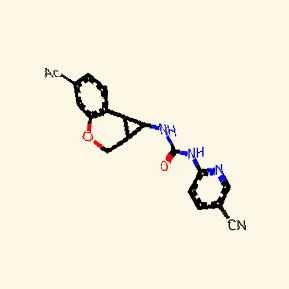 CC(=O)c1ccc2c(c1)OCC1C(NC(=O)Nc3ccc(C#N)cn3)C21